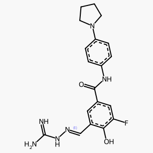 N=C(N)N/N=C/c1cc(C(=O)Nc2ccc(N3CCCC3)cc2)cc(F)c1O